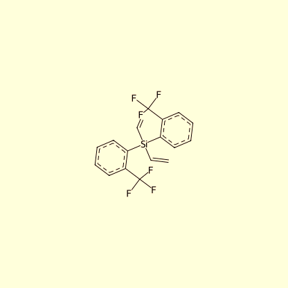 C=C[Si](C=C)(c1ccccc1C(F)(F)F)c1ccccc1C(F)(F)F